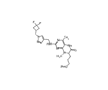 COCCCC1C(=O)Nc2c(C)nc(NCc3cnn(CC4CC(F)(F)C4)c3)nc2N1C